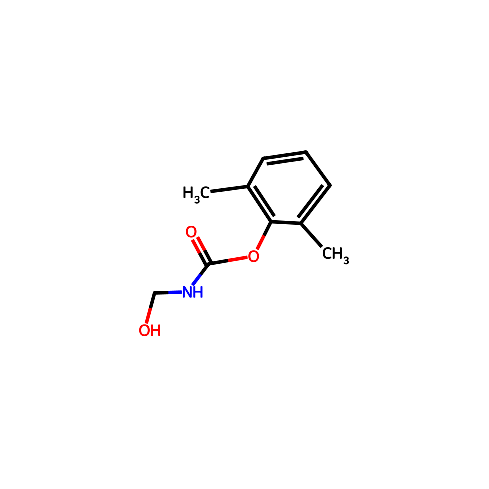 Cc1cccc(C)c1OC(=O)NCO